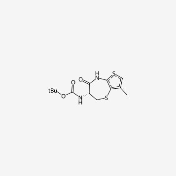 Cc1csc2c1SC[C@H](NC(=O)OC(C)(C)C)C(=O)N2